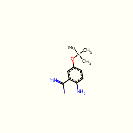 CC(C)(C)[Si](C)(C)Oc1ccc(N)c(C(=N)I)c1